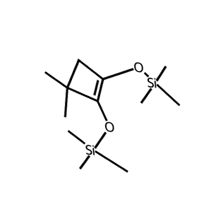 CC1(C)CC(O[Si](C)(C)C)=C1O[Si](C)(C)C